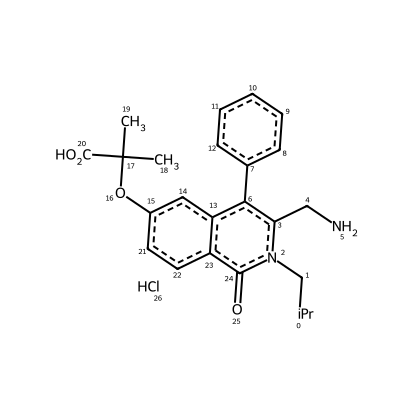 CC(C)Cn1c(CN)c(-c2ccccc2)c2cc(OC(C)(C)C(=O)O)ccc2c1=O.Cl